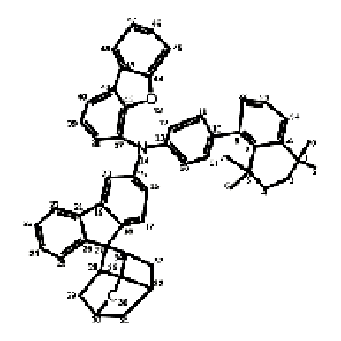 CC1(C)CCC(C)(C)c2c(-c3ccc(N(c4ccc5c(c4)-c4ccccc4C54C5CC6CC7CC4C75C6)c4cccc5c4oc4ccccc45)cc3)cccc21